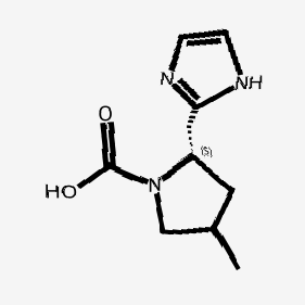 CC1C[C@@H](c2ncc[nH]2)N(C(=O)O)C1